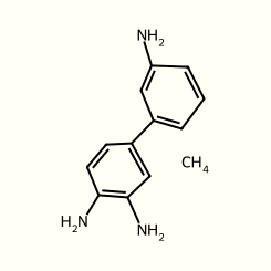 C.Nc1cccc(-c2ccc(N)c(N)c2)c1